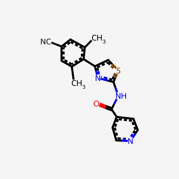 Cc1cc(C#N)cc(C)c1-c1csc(NC(=O)c2ccncc2)n1